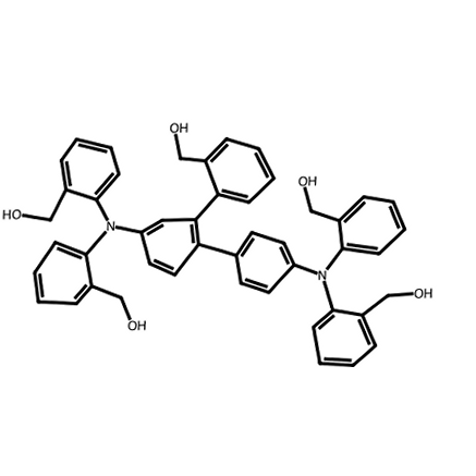 OCc1ccccc1-c1cc(N(c2ccccc2CO)c2ccccc2CO)ccc1-c1ccc(N(c2ccccc2CO)c2ccccc2CO)cc1